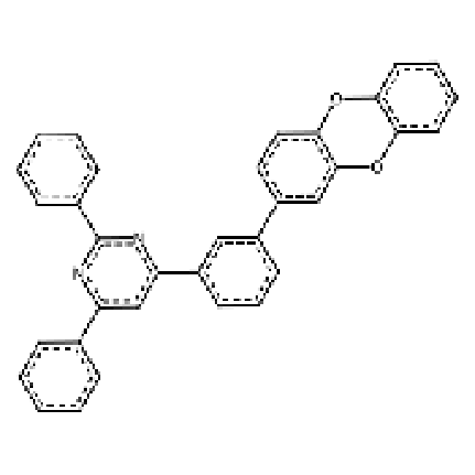 c1ccc(-c2cc(-c3cccc(-c4ccc5c(c4)Oc4ccccc4O5)c3)nc(-c3ccccc3)n2)cc1